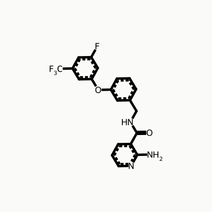 Nc1ncccc1C(=O)NCc1cccc(Oc2cc(F)cc(C(F)(F)F)c2)c1